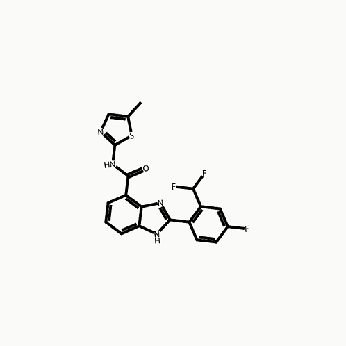 Cc1cnc(NC(=O)c2cccc3[nH]c(-c4ccc(F)cc4C(F)F)nc23)s1